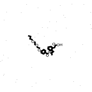 CCCCOCCOCCOc1ccc(C(=O)n2c(C)cc3c(CC(=O)O)cccc32)cc1